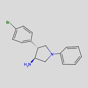 N[C@@H]1CN(c2ccccc2)C[C@H]1c1ccc(Br)cc1